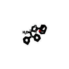 CC([C@@H]1COC(C23CC4CC(CC(C4)C2)C3)=N1)P(c1ccccc1)c1ccccc1